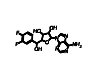 Nc1ncnc2c1ncn2C1OC(C(O)c2ccc(F)c(F)c2)C(O)C1O